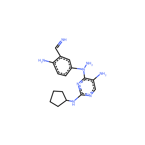 N=Cc1cc(N(N)c2nc(NC3CCCC3)ncc2N)ccc1N